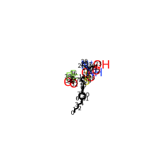 CCCCCc1ccc(C#Cc2ccc(S(=O)(=O)NC(CC(=O)O)C[N+](C)(C)C)s2)cc1.O=C([O-])C(F)(F)F